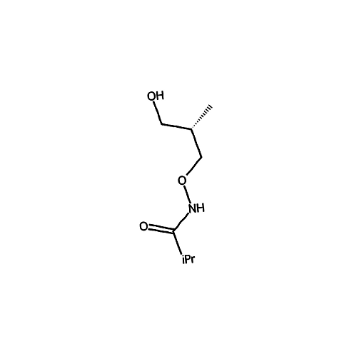 CC(C)C(=O)NOC[C@@H](C)CO